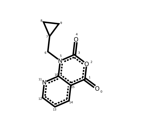 O=c1oc(=O)n(CC2CC2)c2ncccc12